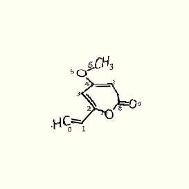 [CH]=Cc1cc(OC)cc(=O)o1